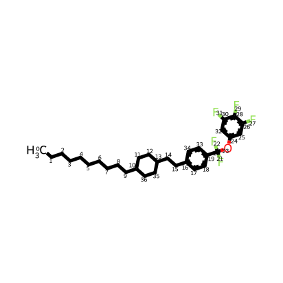 CCCCCCCCCCC1CCC(CCc2ccc(C(F)(F)Oc3cc(F)c(F)c(F)c3)cc2)CC1